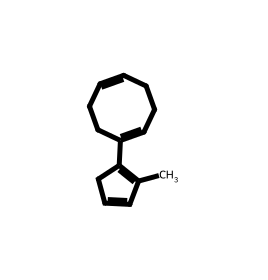 CC1=C(C2=CCCC=CCC2)CC=C1